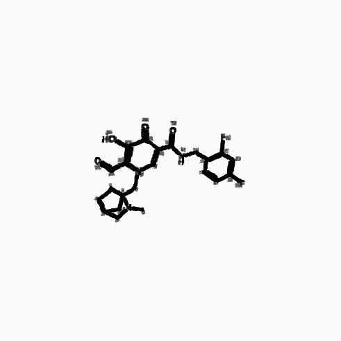 CN1CC2CCC1(Cn1cc(C(=O)NCc3ccc(F)cc3F)c(=O)c(O)c1C=O)C2